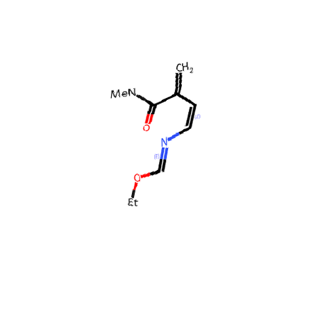 C=C(/C=C\N=C\OCC)C(=O)NC